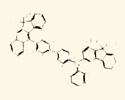 CC1(C)C2=CCCC=C2c2cc(N(c3ccccc3)c3ccc(-c4ccc(C5=C6C(=CC7C=CC=CC57)C(C)(C)c5ccccc56)cc4)cc3)ccc21